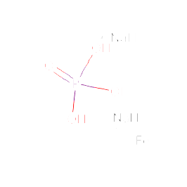 O=P(O)(O)O.[Fe].[NaH].[NaH]